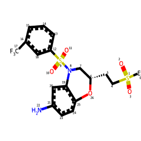 CCS(=O)(=O)CC[C@H]1CN(S(=O)(=O)c2cccc(C(F)(F)F)c2)c2cc(N)ccc2O1